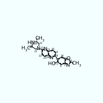 Cc1nc2cc(O)c(-c3ccc4nc(N5C[C@@H](C)N[C@@H](C)C5)ccc4n3)cc2o1